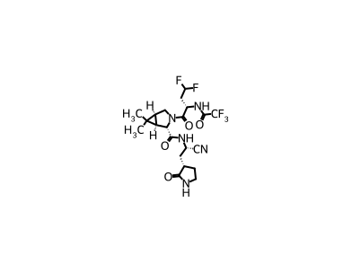 CC1(C)[C@@H]2[C@@H](C(=O)N[C@H](C#N)C[C@@H]3CCNC3=O)N(C(=O)[C@H](CC(F)F)NC(=O)C(F)(F)F)C[C@@H]21